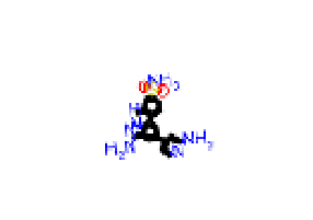 Cc1cc(S(N)(=O)=O)ccc1-c1cc(-c2ccnc(N)c2)cc2c(N)n[nH]c12